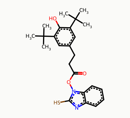 CC(C)(C)c1cc(CCC(=O)On2c(S)nc3ccccc32)cc(C(C)(C)C)c1O